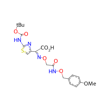 COc1ccc(CONC(=O)CO/N=C(\C(=O)O)c2csc(NC(=O)OC(C)(C)C)n2)cc1